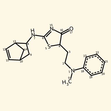 CN(CCC1SC(NC2CC3C=CC2C3)=NC1=O)c1ccccc1